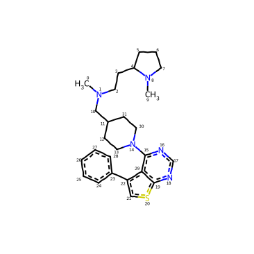 CN(CCC1CCCN1C)CC1CCN(c2ncnc3scc(-c4ccccc4)c23)CC1